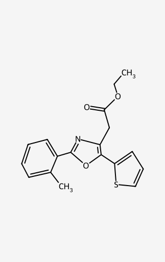 CCOC(=O)Cc1nc(-c2ccccc2C)oc1-c1cccs1